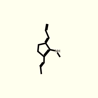 C=C/C=C1\CCC(/C=C/C)=C1NC